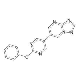 c1ccc(Oc2ncc(-c3cnc4ncnn4c3)cn2)cc1